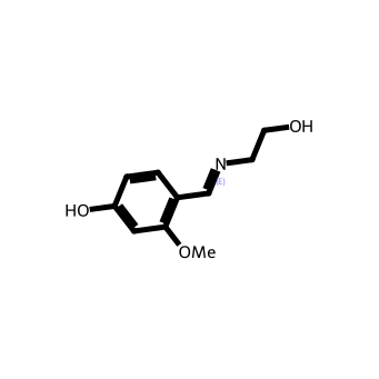 COc1cc(O)ccc1/C=N/CCO